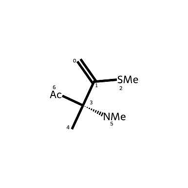 C=C(SC)[C@](C)(NC)C(C)=O